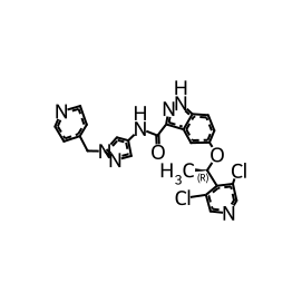 C[C@@H](Oc1ccc2[nH]nc(C(=O)Nc3cnn(Cc4ccncc4)c3)c2c1)c1c(Cl)cncc1Cl